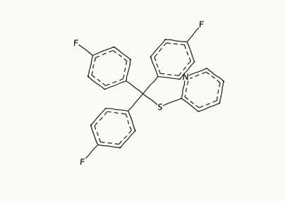 Fc1ccc(C(Sc2ccccn2)(c2ccc(F)cc2)c2ccc(F)cc2)cc1